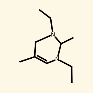 CCN1C=C(C)CN(CC)C1C